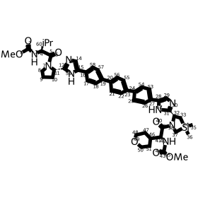 COC(=O)N[C@H](C(=O)N1CCC[C@H]1c1ncc(-c2ccc(-c3ccc(-c4ccc(-c5cnc([C@@H]6C[Si](C)(C)CN6C(=O)[C@@H](NC(=O)OC)C6CCOCC6)[nH]5)cc4)cc3)cc2)[nH]1)C(C)C